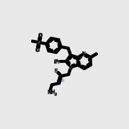 Cc1ccc2c(n1)c(Cc1ccc(S(C)(=O)=O)cc1)c(C(C)C)n2C/C(F)=C/CN